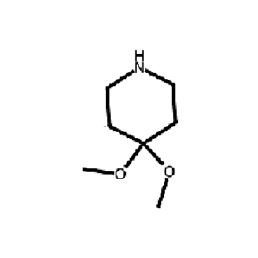 COC1(OC)[CH]CNCC1